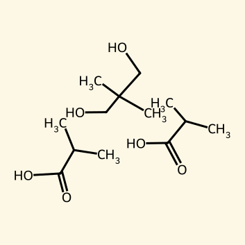 CC(C)(CO)CO.CC(C)C(=O)O.CC(C)C(=O)O